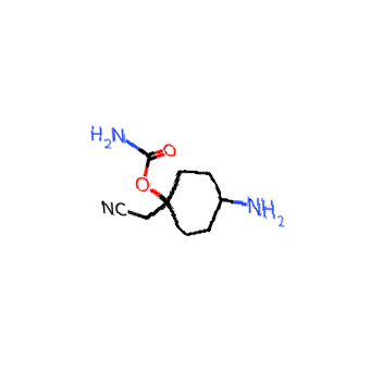 N#CCC1(OC(N)=O)CCC(N)CC1